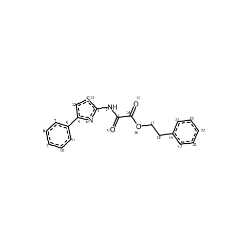 O=C(Nc1nc(-c2ccccc2)cs1)C(=O)OCCc1ccccc1